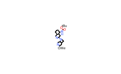 COc1cc2ccn(-c3cc4c(NC(=O)OC(C)(C)C)cccc4cn3)c2cn1